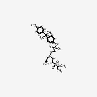 C#CCN(CCS(=O)(=O)Oc1ccc(C(C)(C)c2ccc(O)cc2)cc1)CCS(=O)(=O)C(C)C